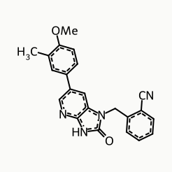 COc1ccc(-c2cnc3[nH]c(=O)n(Cc4ccccc4C#N)c3c2)cc1C